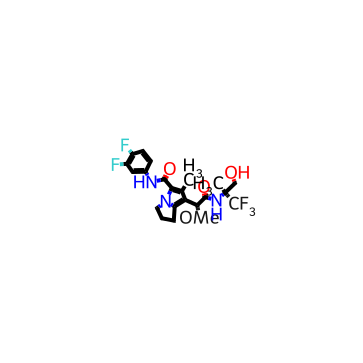 COC(C(=O)NC(C)(CO)C(F)(F)F)c1c(C)c(C(=O)Nc2ccc(F)c(F)c2)n2c1CCC2